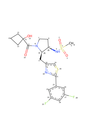 CS(=O)(=O)N[C@@H]1CCN(C(=O)C2(O)CCC2)[C@@H]1Cc1csc(-c2cc(F)cc(F)c2)n1